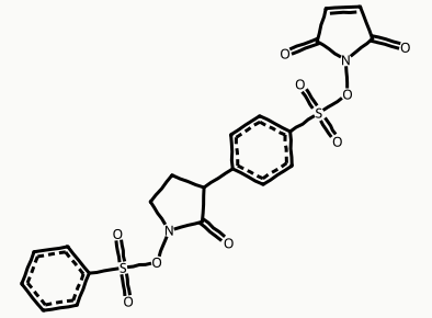 O=C1C(c2ccc(S(=O)(=O)ON3C(=O)C=CC3=O)cc2)CCN1OS(=O)(=O)c1ccccc1